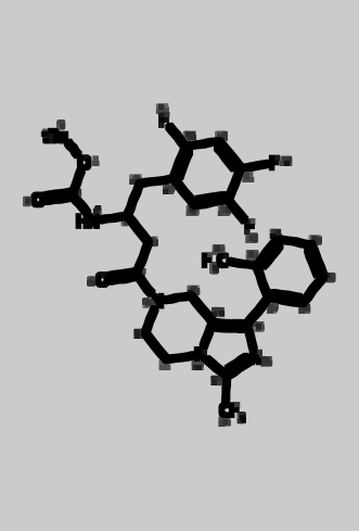 CC(C)(C)OC(=O)NC(CC(=O)N1CCn2c(C(F)(F)F)nc(-c3ccccc3C(F)(F)F)c2C1)Cc1cc(F)c(F)cc1F